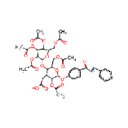 CC(=O)OCC1OC(Oc2ccc(C(=O)/C=C/c3ccccc3)cc2)C(OC(C)=O)C(CC(=O)O)C1OC1OC(COC(C)=O)C(OC(C)=O)C(OC(C)=O)C1OC(C)=O